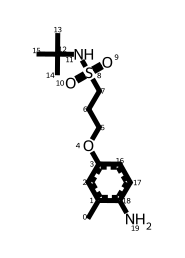 Cc1cc(OCCCS(=O)(=O)NC(C)(C)C)ccc1N